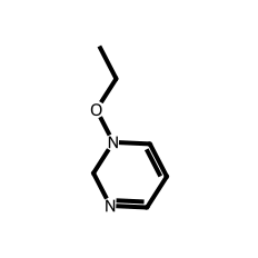 CCON1C=CC=NC1